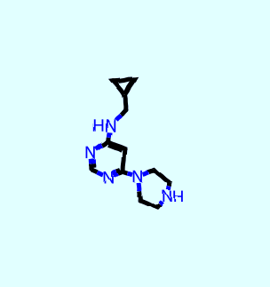 c1nc(NCC2CC2)cc(N2CCNCC2)n1